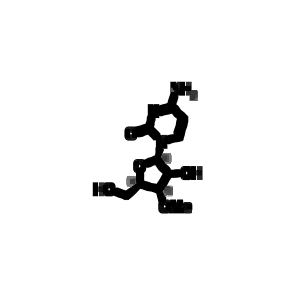 CO[C@@H]1C(O)[C@H](n2ccc(N)nc2=O)O[C@@H]1CO